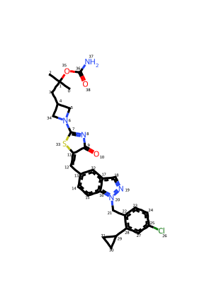 CC(C)(CC1CN(C2=NC(=O)C(=Cc3ccc4c(cnn4Cc4ccc(Cl)cc4C4CC4)c3)S2)C1)OC(N)=O